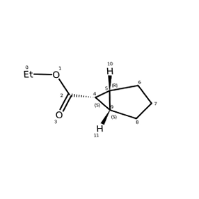 CCOC(=O)[C@@H]1[C@@H]2CCC[C@@H]21